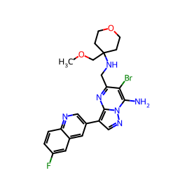 COCC1(NCc2nc3c(-c4cnc5ccc(F)cc5c4)cnn3c(N)c2Br)CCOCC1